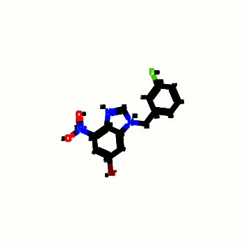 O=[N+]([O-])c1cc(Br)cc2c1ncn2Cc1cccc(F)c1